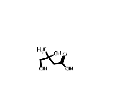 CC(O)(CO)CC(=O)O